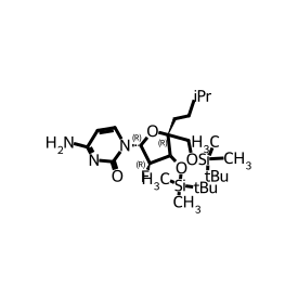 CC(C)CC[C@]1(CO[Si](C)(C)C(C)(C)C)O[C@@H](n2ccc(N)nc2=O)[C@H](F)C1O[Si](C)(C)C(C)(C)C